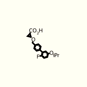 CC(C)Oc1ccc(F)c(-c2ccc(COC3CC3C(=O)O)cc2)c1